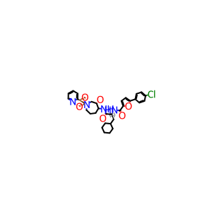 O=C(N[C@@H](CC1CCCCC1)C(=O)NC1CCCN(S(=O)(=O)c2ccccn2)CC1=O)c1ccc(-c2ccc(Cl)cc2)o1